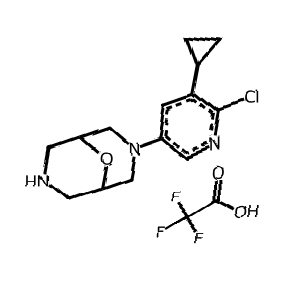 Clc1ncc(N2CC3CNCC(C2)O3)cc1C1CC1.O=C(O)C(F)(F)F